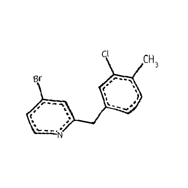 Cc1ccc(Cc2cc(Br)ccn2)cc1Cl